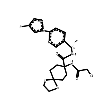 C[C@H](NC(=O)C1(NC(=O)CCl)CCC2(CC1)OCCO2)c1ccc(-n2cc(F)cn2)nc1